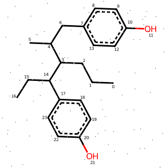 CCCC(C(C)Cc1ccc(O)cc1)C(CC)c1ccc(O)cc1